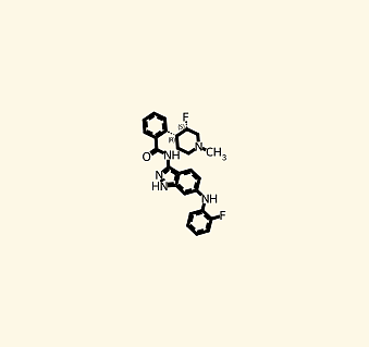 CN1CC[C@H](c2ccccc2C(=O)Nc2n[nH]c3cc(Nc4ccccc4F)ccc23)[C@H](F)C1